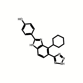 Oc1ccc(-c2nc3c(C4CCCCC4)c(-c4nn[nH]n4)ccc3[nH]2)cc1